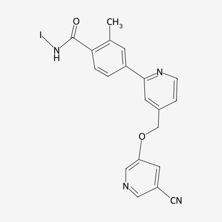 Cc1cc(-c2cc(COc3cncc(C#N)c3)ccn2)ccc1C(=O)NI